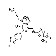 C=Cc1c(CNC(=O)OC(C)(C)C)cc(-c2ccc(OC(F)(F)F)cc2)c(C)c1N(C)CC#CC